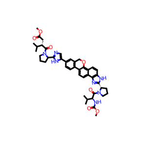 COC(=O)C[C@H](C(=O)N1CCCC1c1ncc(-c2ccc3c(c2)COc2c-3ccc3c2ccc2[nH]c([C@@H]4CCCN4C(=O)[C@@H](NC(=O)OC)C(C)C)nc23)[nH]1)C(C)C